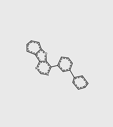 c1ccc(-c2cccc(-c3ncnc4c3oc3ccccc34)c2)cc1